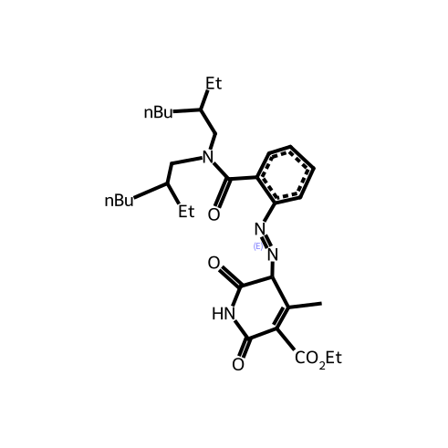 CCCCC(CC)CN(CC(CC)CCCC)C(=O)c1ccccc1/N=N/C1C(=O)NC(=O)C(C(=O)OCC)=C1C